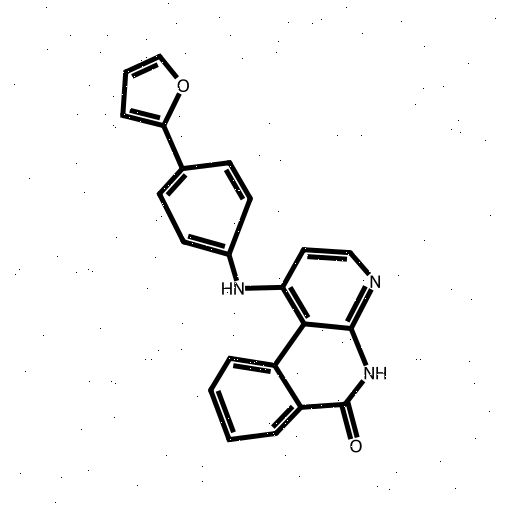 O=c1[nH]c2nccc(Nc3ccc(-c4ccco4)cc3)c2c2ccccc12